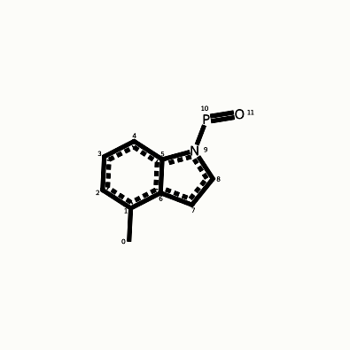 Cc1cccc2c1ccn2P=O